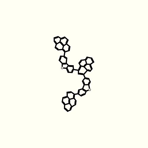 c1cc2ccc3ccc(-c4ccc5oc6ccc(-c7cc(-c8ccc9oc%10ccc(-c%11ccc%12ccc%13cccc%14ccc%11c%12c%13%14)cc%10c9c8)c8ccc9cccc%10ccc7c8c%109)cc6c5c4)c4ccc(c1)c2c34